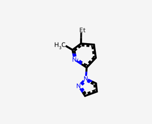 CCc1ccc(-n2cccn2)nc1C